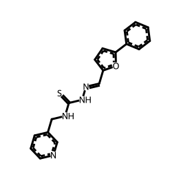 S=C(NCc1cccnc1)N/N=C/c1ccc(-c2ccccc2)o1